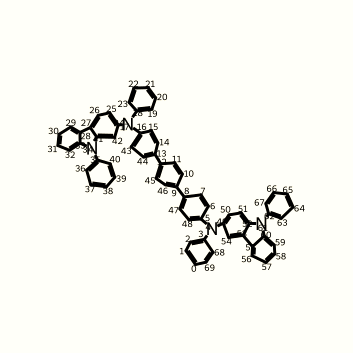 c1ccc(N(c2ccc(-c3ccc(-c4ccc(N(c5ccccc5)c5ccc6c7ccccc7n(-c7ccccc7)c6c5)cc4)cc3)cc2)c2ccc3c(c2)c2ccccc2n3-c2ccccc2)cc1